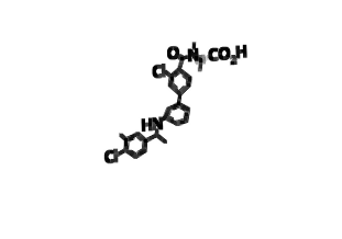 Cc1cc(C(C)Nc2cccc(-c3ccc(C(=O)N(C)[C@@H](C)C(=O)O)c(Cl)c3)c2)ccc1Cl